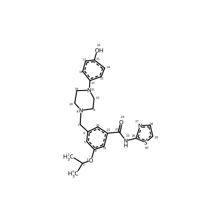 CC(C)Oc1cc(CN2CCN(c3ccc(O)cc3)CC2)cc(C(=O)Nc2nccs2)c1